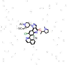 CC(=O)N1CC[C@H](n2ncc3c(OC(C)C4CCCN4C)nc4c(F)c(-c5nccc6cccc(C#N)c56)c(Cl)cc4c32)C[C@H]1CC#N